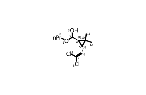 CCCOC(O)[C@@H]1[C@@H](C=C(Cl)Cl)C1(C)C